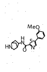 COc1cccc(-c2cnc(C(=O)NC3CC4CC3CN4)s2)c1